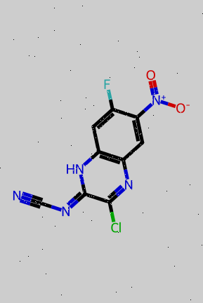 N#C/N=c1\[nH]c2cc(F)c([N+](=O)[O-])cc2nc1Cl